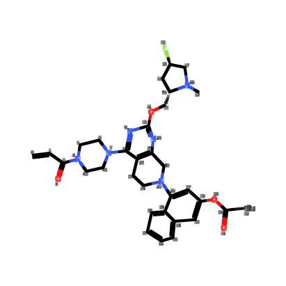 C=CC(=O)N1CCN(c2nc(OC[C@@H]3C[C@@H](F)CN3C)nc3c2CCN(c2cc(OC(=O)C(C)(C)C)cc4ccccc24)C3)CC1